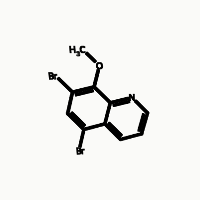 COc1c(Br)cc(Br)c2cccnc12